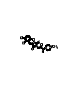 CN1CCN(NC(=O)CN2C(=O)C(=Cc3c(Cl)ccc(Cl)c3Cl)SC2=S)CC1